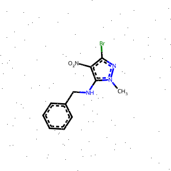 Cn1nc(Br)c([N+](=O)[O-])c1NCc1ccccc1